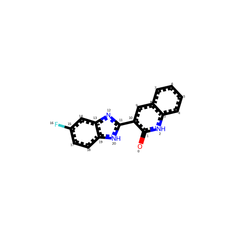 O=c1[nH]c2ccccc2cc1-c1nc2cc(F)ccc2[nH]1